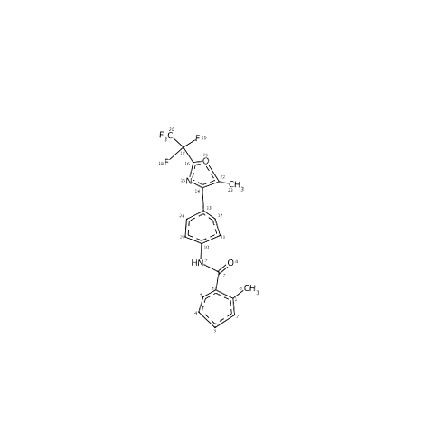 Cc1ccccc1C(=O)Nc1ccc(-c2nc(C(F)(F)C(F)(F)F)oc2C)cc1